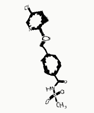 CS(=O)(=O)NC(=O)c1ccc(COc2ccc(Cl)cn2)cc1